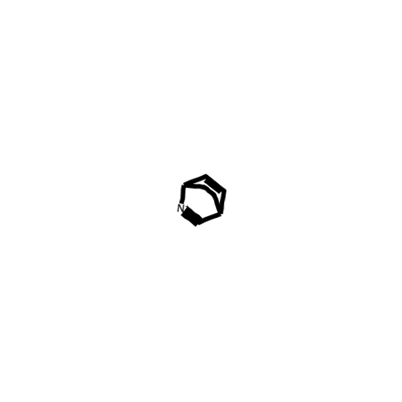 C1#[N+]C2C=CC1CC2